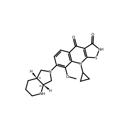 COc1c(N2C[C@H]3CCCN[C@H]3C2)ccc2c(=O)c3c(=O)[nH]sc3n(C3CC3)c12